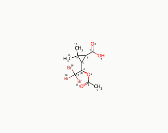 CC(=O)O[C@H](C1C(C(=O)O)C1(C)C)C(Br)(Br)Br